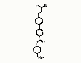 CCCCCCC1CCC(OC(=O)c2ccc(C3=CCC(CCC(CC)CC)CC3)cc2)CC1